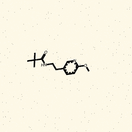 COc1ccc(CCNC(=O)C(C)(C)C)cn1